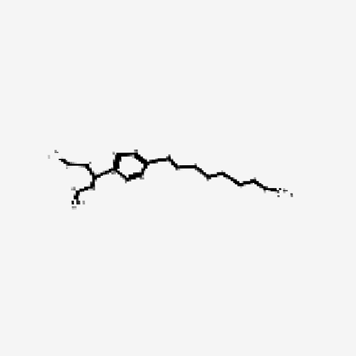 CCCCCCCCCc1ccc(C(CCO)CCO)cc1